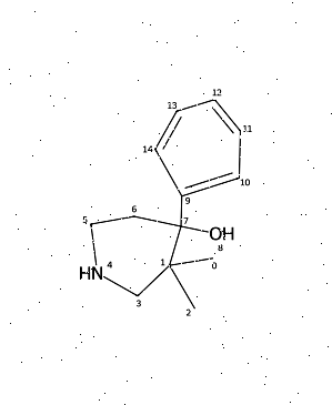 CC1(C)CNCCC1(O)c1ccccc1